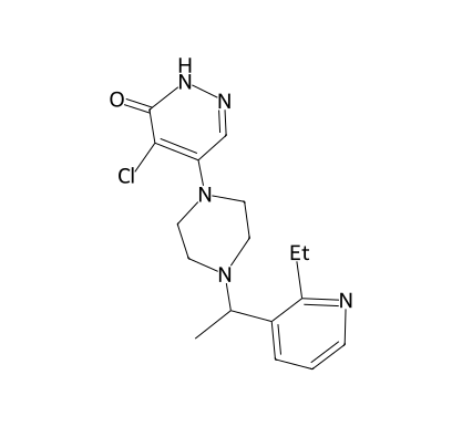 CCc1ncccc1C(C)N1CCN(c2cn[nH]c(=O)c2Cl)CC1